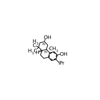 CC(C)c1cc2c(cc1O)[C@]1(C)C[C@H](O)CC(C)(C)[C@H]1CC2